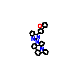 c1ccc2c(-c3ccc4c(c3)oc3ccccc34)nc(-n3c4cccc5c6cccc7c8ccccc8n(c8cccc3c8c54)c67)nc2c1